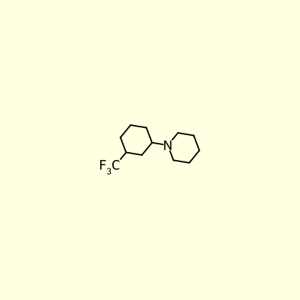 FC(F)(F)C1CCCC(N2CCCCC2)C1